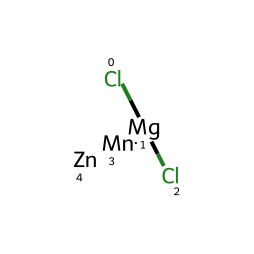 [Cl][Mg][Cl].[Mn].[Zn]